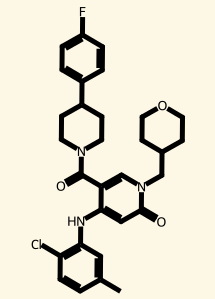 Cc1ccc(Cl)c(Nc2cc(=O)n(CC3CCOCC3)cc2C(=O)N2CCC(c3ccc(F)cc3)CC2)c1